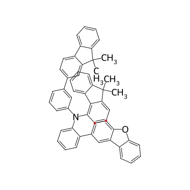 CC1(C)c2ccccc2-c2ccc(-c3cccc(N(c4ccccc4-c4ccc5oc6ccccc6c5c4)c4cccc5c4-c4ccccc4C5(C)C)c3)cc21